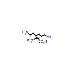 NCCCCCCN.O=C(O)/C=C\C(=O)O